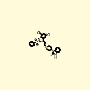 CN(C[C@@H](CCN1CCC(n2c(=O)[nH]c3ccccc32)CC1)c1cccc(Cl)c1)S(=O)(=O)c1ccccc1.Cl